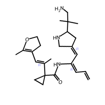 C=C/C=C(\C=C1/CNC(C(C)(C)CN)C1)NC(=O)C1(/C(C)=C/C2=C(C)OCC2)CC1